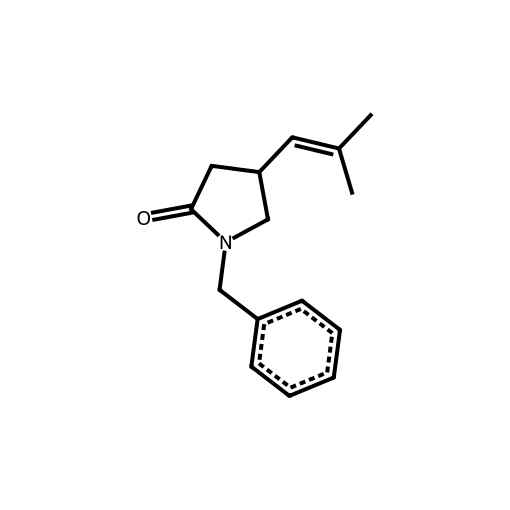 CC(C)=CC1CC(=O)N(Cc2ccccc2)C1